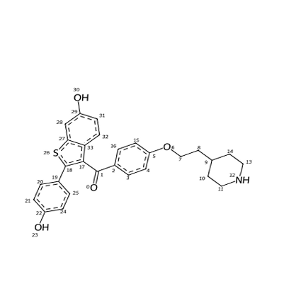 O=C(c1ccc(OCCC2CCNCC2)cc1)c1c(-c2ccc(O)cc2)sc2cc(O)ccc12